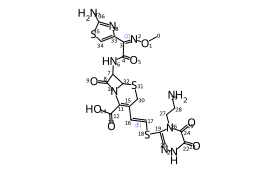 CO/N=C(\C(=O)NC1C(=O)N2C(C(=O)O)=C(/C=C/Sc3n[nH]c(=O)c(=O)n3CCN)CSC12)c1csc(N)n1